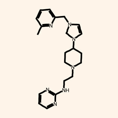 Cc1cccc(CN2C=CN(C3CCN(CCNc4ncccn4)CC3)C2)n1